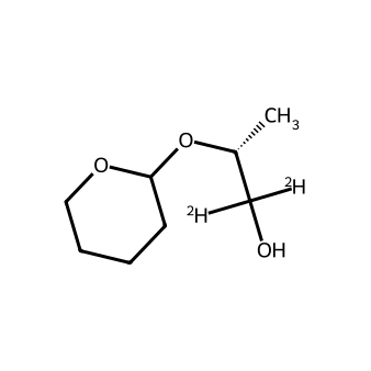 [2H]C([2H])(O)[C@@H](C)OC1CCCCO1